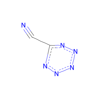 N#Cc1nnnnn1